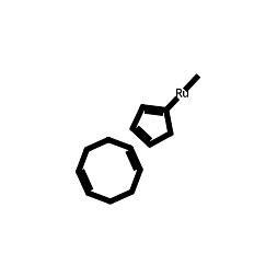 C1=CCCC=CCC1.[CH3][Ru][C]1=CC=CC1